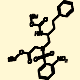 CC(C)(C)OC(=O)CN(C[C@H](CCc1ccccc1)NC(=O)OC(C)(C)C)S(=O)(=O)c1ccccc1[N+](=O)[O-]